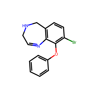 Brc1ccc2c(c1Oc1ccccc1)N=CCNC2